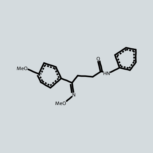 CON=C(CCC(=O)Nc1ccccc1)c1ccc(OC)cc1